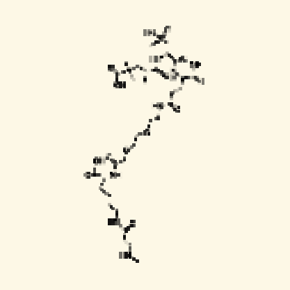 CNCCC(=O)NCCCCC(NC(=O)COCCOCCNC(=O)CCC(NC(=O)C(CS(=O)(=O)O)NC(=O)C(C)CC(C)(C)C(=O)O)C(=O)O)C(=O)O